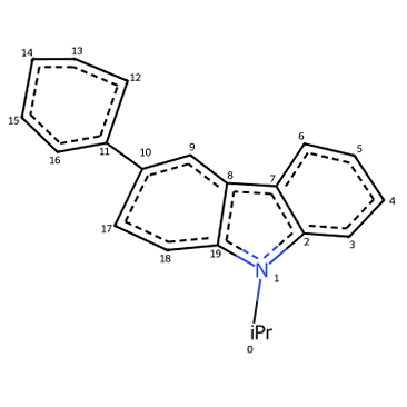 CC(C)n1c2ccccc2c2cc(-c3ccccc3)ccc21